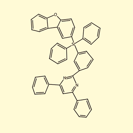 c1ccc(-c2cc(-c3ccccc3)nc(-c3cccc([Si](c4ccccc4)(c4ccccc4)c4ccc5oc6ccccc6c5c4)c3)n2)cc1